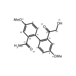 COc1ccc(-c2ccc(OC)cc2C(=O)CO)c(C(N)=O)c1